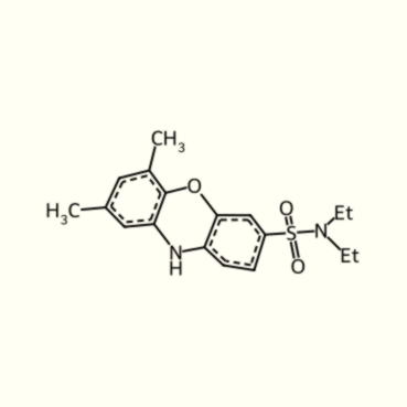 CCN(CC)S(=O)(=O)c1ccc2c(c1)Oc1c(C)cc(C)cc1N2